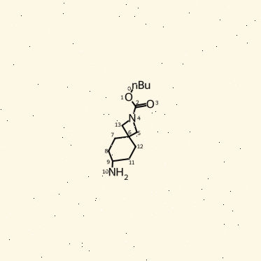 CCCCOC(=O)N1CC2(CCC(N)CC2)C1